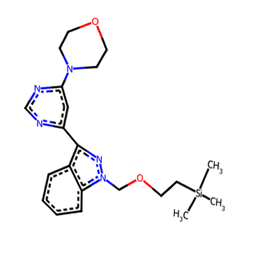 C[Si](C)(C)CCOCn1nc(-c2cc(N3CCOCC3)ncn2)c2ccccc21